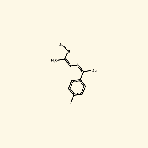 C/C(=N/N=C(\c1ccc(F)cc1)C(C)(C)C)NC(C)(C)C